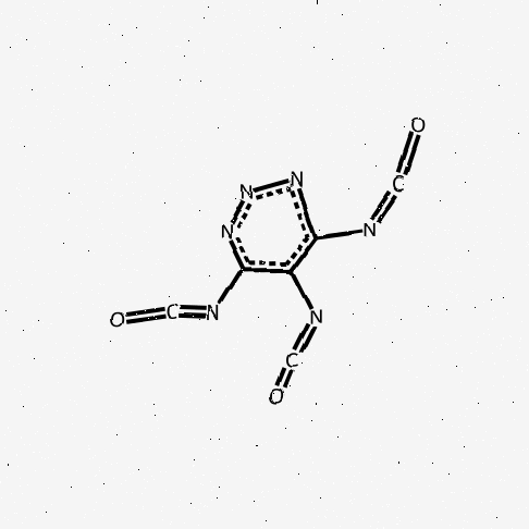 O=C=Nc1nnnc(N=C=O)c1N=C=O